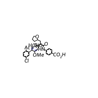 COC(=C/N(C)C(CC1CCCO1)C(=O)Nc1ccc(C(=O)O)cc1)/C(=C\C=O)c1cc(Cl)ccc1C(C)=O